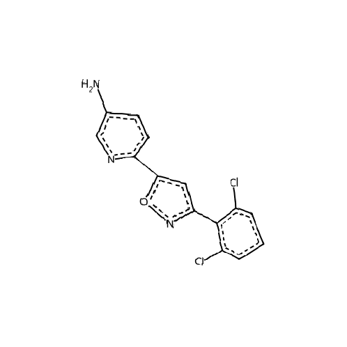 Nc1ccc(-c2cc(-c3c(Cl)cccc3Cl)no2)nc1